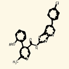 COc1ccccc1-c1cc(C)ncc1C(=O)Nc1nc2ncc(-c3ccc(Cl)cc3)cc2s1